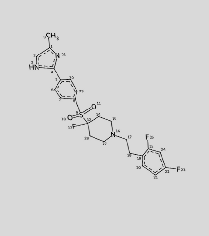 Cc1c[nH]c(-c2ccc(S(=O)(=O)C3(F)CCN(CCc4ccc(F)cc4F)CC3)cc2)n1